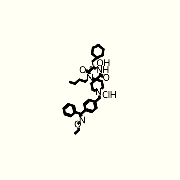 CCCCN1C(=O)[C@@H](CC2(O)CCCCC2)NC(=O)C12CCN(Cc1ccc(C(=NOCC)c3ccccc3)cc1)CC2.Cl